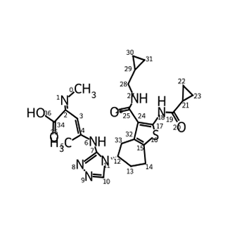 C/N=C(\C=C(/C)Nc1nncn1[C@H]1CCc2sc(NC(=O)C3CC3)c(C(=O)NCC3CC3)c2C1)C(=O)O